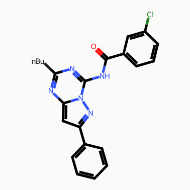 CCCCc1nc(NC(=O)c2cccc(Cl)c2)n2nc(-c3ccccc3)cc2n1